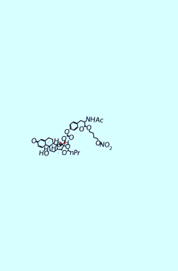 CCCC1O[C@@H]2C[C@H]3[C@@H]4CCC5=CC(=O)C=C[C@]5(C)[C@H]4[C@@H](O)C[C@]3(C)[C@]2(C(=O)COC(=O)Oc2ccc(CC(NC(C)=O)C(=O)OCCCCO[N+](=O)[O-])cc2)O1